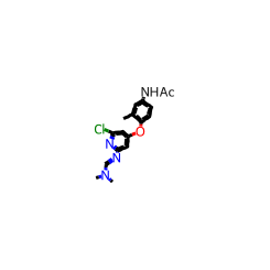 CC(=O)Nc1ccc(Oc2cc(Cl)nc(/N=C/N(C)C)c2)c(C)c1